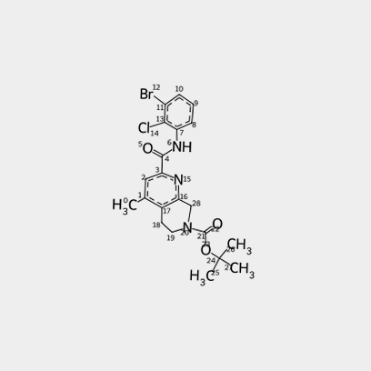 Cc1cc(C(=O)Nc2cccc(Br)c2Cl)nc2c1CCN(C(=O)OC(C)(C)C)C2